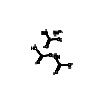 O=C([O-])O.O=C([O-])O.O=C([O-])O.[Nd+3]